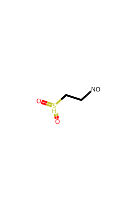 O=NCC[SH](=O)=O